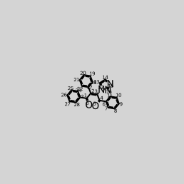 O=C(C(=C(C(=O)c1ccccc1)n1ccnn1)c1ccccc1)c1ccccc1